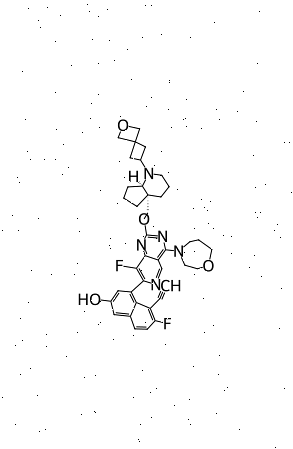 C#Cc1c(F)ccc2cc(O)cc(-c3ncc4c(N5CCCOCC5)nc(OC[C@]56CCC[C@H]5N(C5CC7(COC7)C5)CCC6)nc4c3F)c12